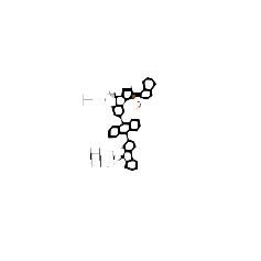 CC1(C)c2ccccc2-c2ccc(-c3c4ccccc4c(-c4ccc5c(c4)-c4c(ccc6c4sc4ccc7ccccc7c46)C5(C)C)c4ccccc34)cc21